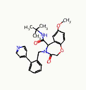 COc1ccc2c(c1)C(C(=O)NC(C)(C)C)N(Cc1ccccc1-c1ccncc1)C(=O)CO2